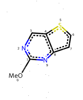 COc1ncc2sccc2n1